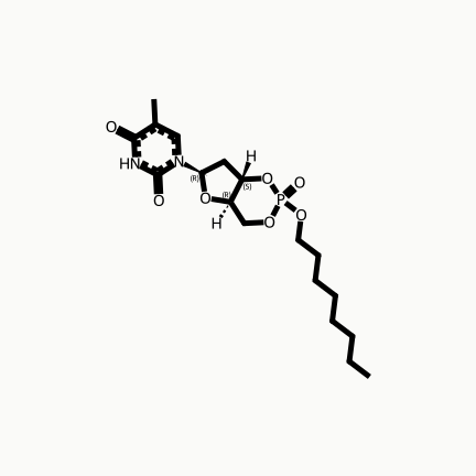 CCCCCCCCOP1(=O)OC[C@H]2O[C@@H](n3cc(C)c(=O)[nH]c3=O)C[C@@H]2O1